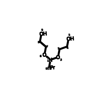 CCCN(OCCO)OCCO